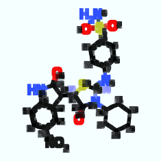 NS(=O)(=O)c1ccc(/N=C2\S/C(=C3\C(=O)Nc4ccc([N+](=O)[O-])cc43)C(=O)N2C2CCCCC2)cc1